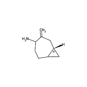 C=C1C[C@@H]2CC2CCC1N